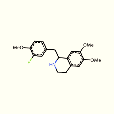 COc1ccc(CC2NCCc3cc(OC)c(OC)cc32)cc1F